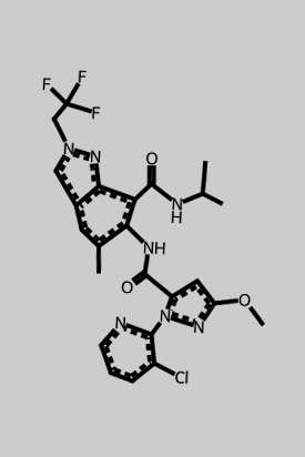 COc1cc(C(=O)Nc2c(C)cc3cn(CC(F)(F)F)nc3c2C(=O)NC(C)C)n(-c2ncccc2Cl)n1